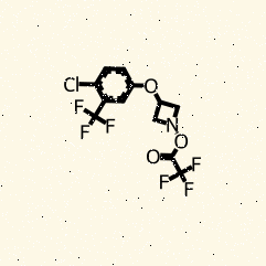 O=C(ON1CC(Oc2ccc(Cl)c(C(F)(F)F)c2)C1)C(F)(F)F